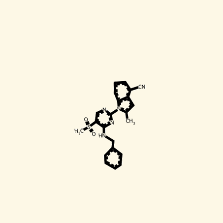 Cc1cc2c(C#N)cccc2n1-c1ncc(S(C)(=O)=O)c(NCc2ccccc2)n1